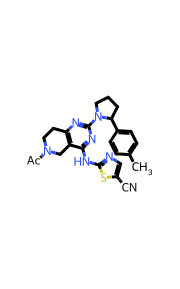 CC(=O)N1CCc2nc(N3CCCC3c3ccc(C)cc3)nc(Nc3ncc(C#N)s3)c2C1